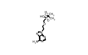 CC(C)(C)P(=O)(O)COCCn1cnc2c(N)ncnc21